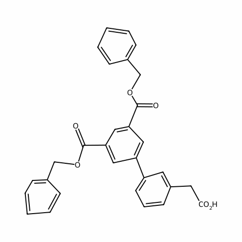 O=C(O)Cc1cccc(-c2cc(C(=O)OCc3ccccc3)cc(C(=O)OCc3ccccc3)c2)c1